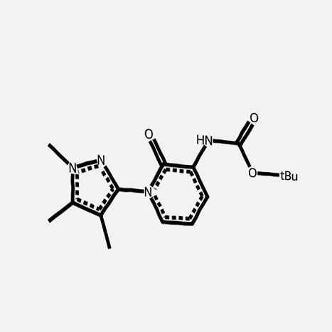 Cc1c(-n2cccc(NC(=O)OC(C)(C)C)c2=O)nn(C)c1C